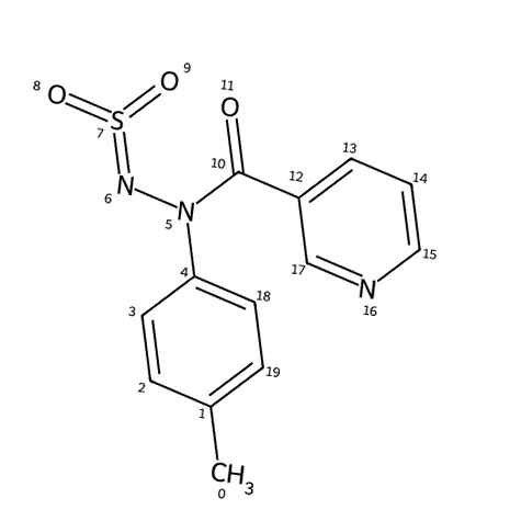 Cc1ccc(N(N=S(=O)=O)C(=O)c2cccnc2)cc1